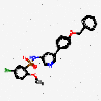 COc1ccc(Br)cc1S(=O)(=O)Nc1cncc(-c2ccc(OCc3ccccc3)cc2)c1